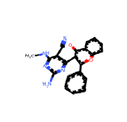 CNc1nc(N)nc(-c2c(-c3ccccc3)oc3ccccc3c2=O)c1C#N